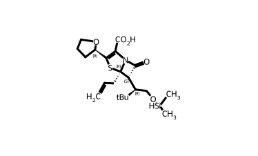 C=CC[C@]12SC([C@H]3CCCO3)=C(C(=O)O)N1C(=O)[C@@H]2[C@@H](CO[SiH](C)C)C(C)(C)C